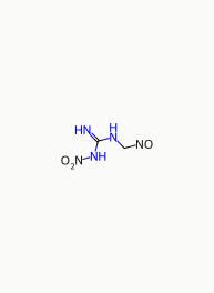 N=C(NCN=O)N[N+](=O)[O-]